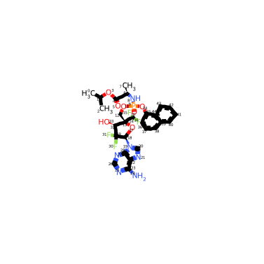 CC(C)OC(=O)[C@H](C)NP(=O)(OC[C@@]1(C(F)F)O[C@@H](n2cnc3c(N)ncnc32)C(F)(F)[C@@H]1O)Oc1cccc2ccccc12